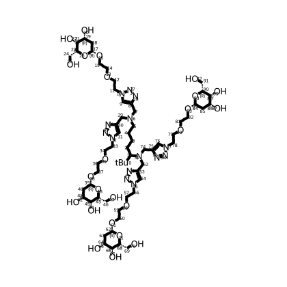 CC(C)(C)C(CCCCN(Cc1cn(CCOCCO[C@H]2C[C@@H](O)[C@@H](O)[C@@H](CO)O2)nn1)Cc1cn(CCOCCO[C@H]2C[C@@H](O)[C@@H](O)[C@@H](CO)O2)nn1)N(Cc1cn(CCOCCO[C@H]2C[C@@H](O)[C@@H](O)[C@@H](CO)O2)nn1)Cc1cn(CCOCCO[C@H]2C[C@@H](O)[C@@H](O)[C@@H](CO)O2)nn1